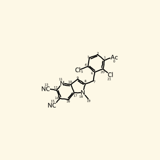 CC(=O)c1ccc(Cl)c(Cc2cc3nc(C#N)c(C#N)cc3n2C)c1Cl